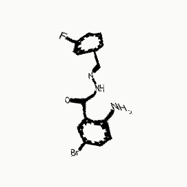 Nc1ccc(Br)cc1C(=O)NN=Cc1cccc(F)c1